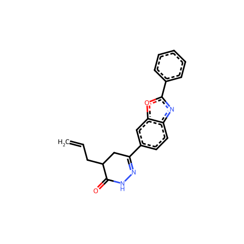 C=CCC1CC(c2ccc3nc(-c4ccccc4)oc3c2)=NNC1=O